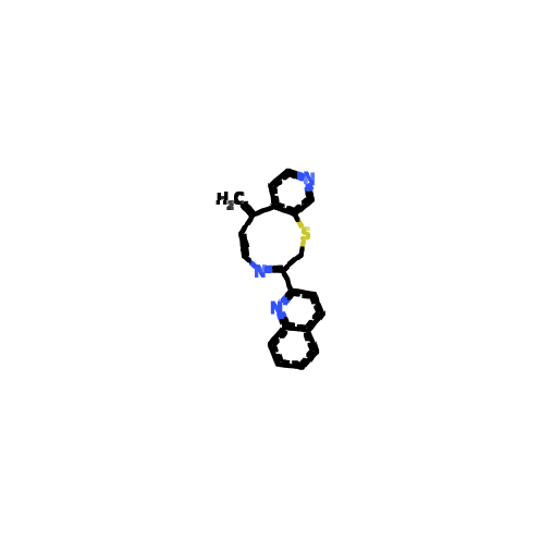 C=C1/C=C\N=C(\c2ccc3ccccc3n2)CSc2cnccc21